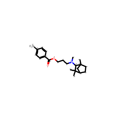 CN(CCCOC(=O)c1ccc([N+](=O)[O-])cc1)C1C2(C)CCC(C2)C1(C)C